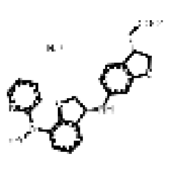 CCCN(c1ccccn1)c1cccc2c1OC[C@H]2Nc1ccc2c(c1)OC[C@H]2CC(=O)[O-].[Na+]